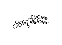 CCC(C)C(C#N)(CCCC(N)CC1Oc2ccccc2O1)c1ccc(OC)c(OC)c1